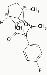 Cn1c2c(c(=O)n1-c1ccc(F)cc1)[C@H]1CC[C@]2(C)C1(C)C